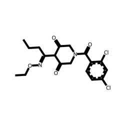 CCCC(=NOCC)C1C(=O)CN(C(=O)c2ccc(Cl)cc2Cl)CC1=O